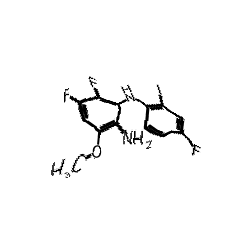 COc1cc(F)c(F)c(Nc2ccc(F)cc2I)c1N